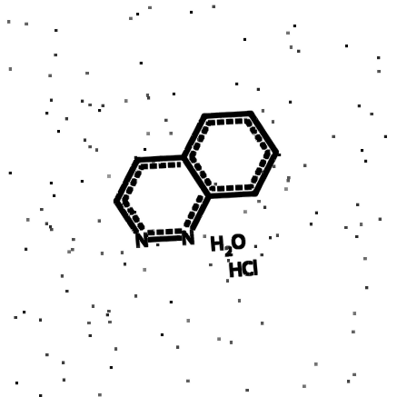 Cl.O.c1ccc2nnccc2c1